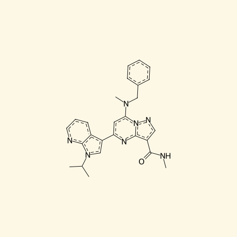 CNC(=O)c1cnn2c(N(C)Cc3ccccc3)cc(-c3cn(C(C)C)c4ncccc34)nc12